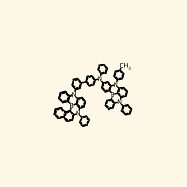 Cc1ccc(N2c3cc(N(c4ccccc4)c4ccc(-c5cccc(N6c7ccccc7B7c8c6cccc8N(c6ccccc6)c6ccc8ccccc8c67)c5)cc4)ccc3B3c4ccccc4N(c4ccccc4)c4cccc2c43)cc1